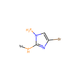 [3H]Pc1nc(Br)cn1P